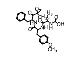 COc1ccc(CC(NC(=O)C(C)NC(=O)O)C(=O)NC(Cc2ccccc2)C(=O)C2(C)CO2)cc1